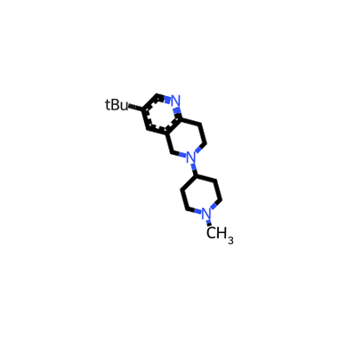 CN1CCC(N2CCc3ncc(C(C)(C)C)cc3C2)CC1